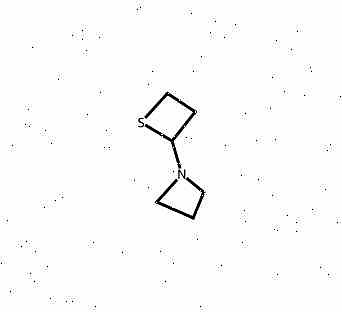 C1CN(C2CCS2)C1